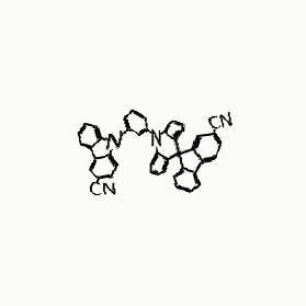 N#Cc1ccc2c(c1)C1(c3ccccc3-2)c2ccccc2N(c2cccc(-n3c4ccccc4c4cc(C#N)ccc43)c2)c2ccccc21